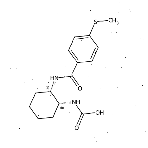 CSc1ccc(C(=O)N[C@H]2CCCC[C@H]2NC(=O)O)cc1